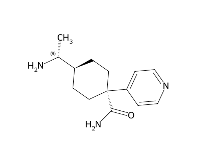 C[C@@H](N)[C@H]1CC[C@@](C(N)=O)(c2ccncc2)CC1